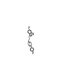 Fc1ccc(N2CCN(CCCn3cnc4cc(F)ccc43)CC2)cc1